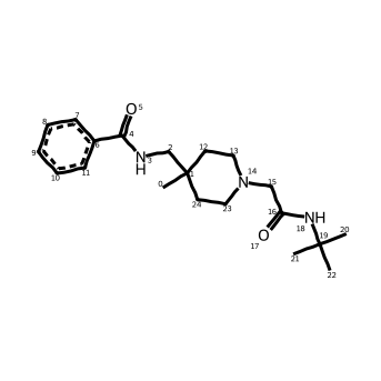 CC1(CNC(=O)c2ccccc2)CCN(CC(=O)NC(C)(C)C)CC1